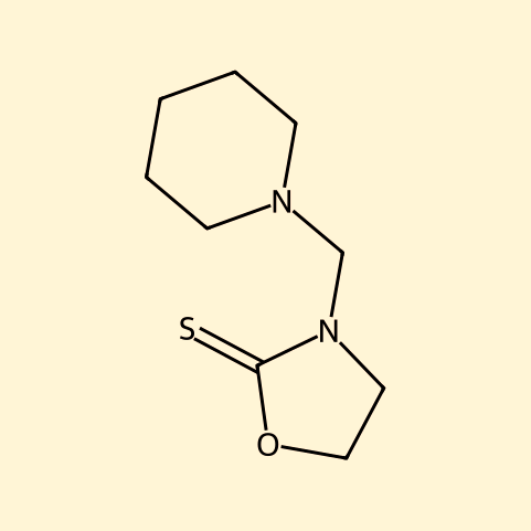 S=C1OCCN1CN1CCCCC1